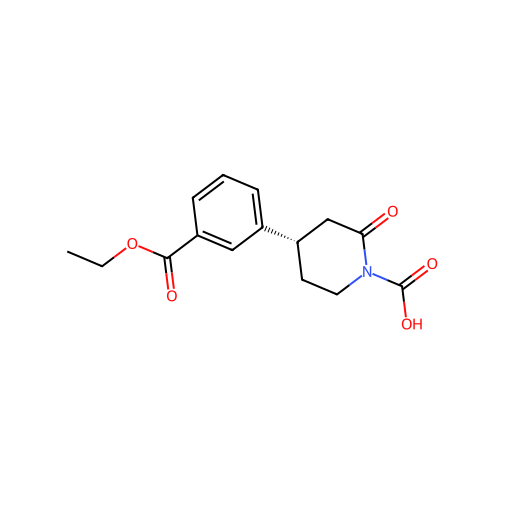 CCOC(=O)c1cccc([C@H]2CCN(C(=O)O)C(=O)C2)c1